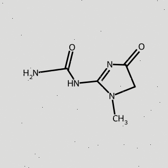 CN1CC(=O)N=C1NC(N)=O